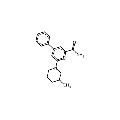 CC1CCCN(c2nc(C(N)=O)cc(-c3ccccc3)n2)C1